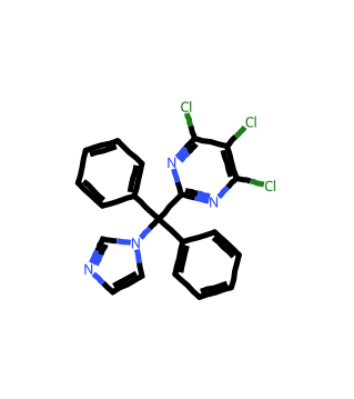 Clc1nc(C(c2ccccc2)(c2ccccc2)n2ccnc2)nc(Cl)c1Cl